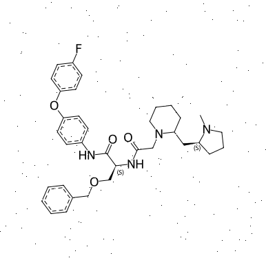 CN1CCC[C@H]1CC1CCCCN1CC(=O)N[C@@H](COCc1ccccc1)C(=O)Nc1ccc(Oc2ccc(F)cc2)cc1